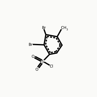 Cc1ccc(S(=O)(=O)Cl)c(Br)c1Br